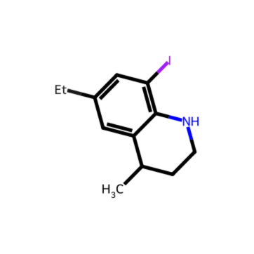 CCc1cc(I)c2c(c1)C(C)CCN2